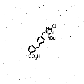 CCCCc1nc(Cl)nn1Cc1ccc(Cc2cccc(C(=O)O)c2)cc1